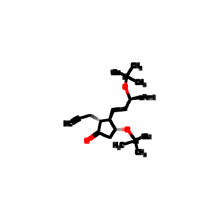 C#CC[C@H]1C(=O)C[C@@H](O[Si](C)(C)C(C)(C)C)[C@@H]1C=C[C@H](CCCCC)O[Si](C)(C)C(C)(C)C